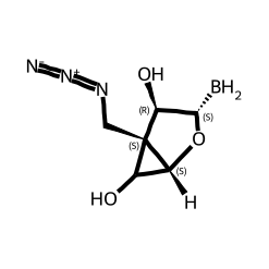 B[C@@H]1O[C@@H]2C(O)[C@]2(CN=[N+]=[N-])[C@H]1O